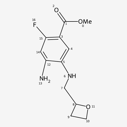 COC(=O)c1cc(NCC2CCO2)c(N)cc1F